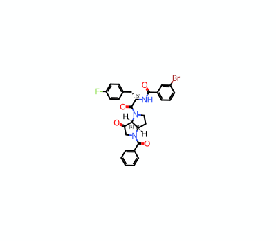 O=C(N[C@@H](Cc1ccc(F)cc1)C(=O)N1CC[C@@H]2[C@H]1C(=O)CN2C(=O)c1ccccc1)c1cccc(Br)c1